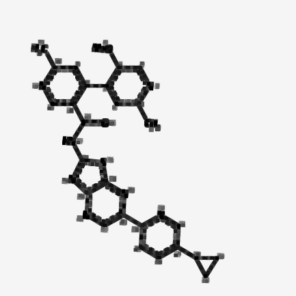 COc1cnc(C)cc1-c1cc(C)ncc1C(=O)Nc1nc2ncc(-c3ccc(C4CC4)cn3)nc2s1